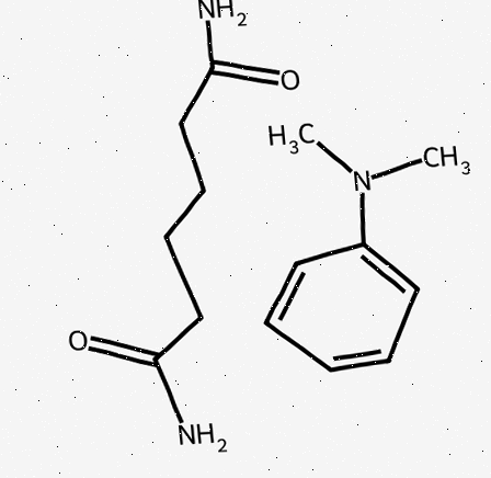 CN(C)c1ccccc1.NC(=O)CCCCC(N)=O